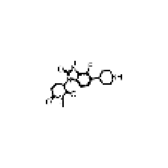 Cn1c(=O)n(C2CCC(=O)NC2=O)c2ccc(C3CCNCC3)c(F)c21